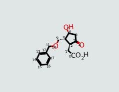 O=C(O)C[C@@H]1C(=O)C[C@H](O)[C@H]1COCc1ccccc1